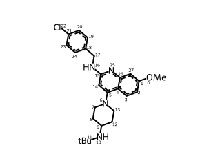 COc1ccc2c(N3CCC(NC(C)(C)C)CC3)cc(NCc3ccc(Cl)cc3)nc2c1